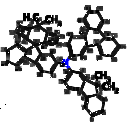 CC1(C)c2ccccc2-c2ccc(N(c3ccc4c(c3)C3(c5ccccc5-4)c4ccccc4C(C)(C)c4ccccc43)c3ccc4c5ccccc5c5ccccc5c4c3)cc21